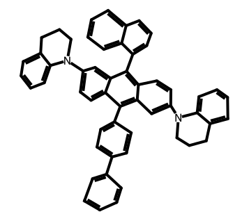 c1ccc(-c2ccc(-c3c4cc(N5CCCc6ccccc65)ccc4c(-c4cccc5ccccc45)c4cc(N5CCCc6ccccc65)ccc34)cc2)cc1